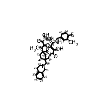 Cc1cc(CNC(=O)c2nc3n(c(=O)c2O)CC2(CN4CCc5ccccc5C4)CCC3(N(C)C(=O)C(=O)N(C)C)CC2)ccc1F